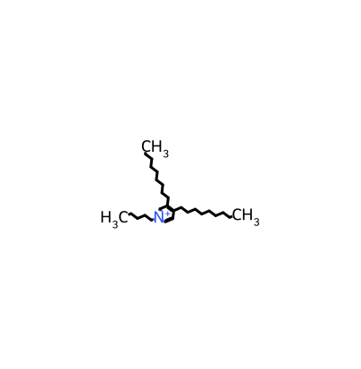 CCCCCCCCCc1cc[n+](CCCCC)cc1CCCCCCCCC